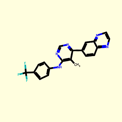 Cc1c(Nc2ccc(C(F)(F)F)cc2)ncnc1-c1ccc2nccnc2c1